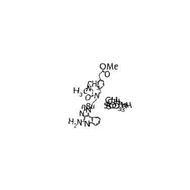 CCCCc1nc2c(N)nc3ccccc3c2n1CCCN(Cc1ccc(CC(=O)OC)cc1)C(=O)CN(C)C.CS(=O)(=O)O.CS(=O)(=O)O